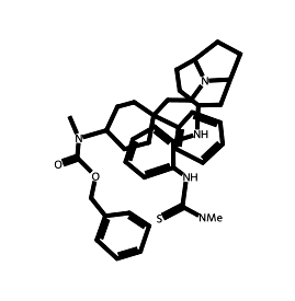 CNC(=S)Nc1ccccc1NC1CCC2CCC(C1)N2CCC1(c2ccccc2)CCC(N(C)C(=O)OCc2ccccc2)CC1